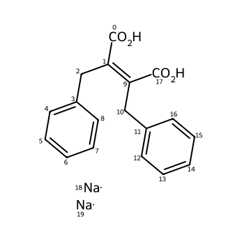 O=C(O)C(Cc1ccccc1)=C(Cc1ccccc1)C(=O)O.[Na].[Na]